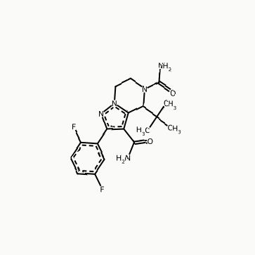 CC(C)(C)C1c2c(C(N)=O)c(-c3cc(F)ccc3F)nn2CCN1C(N)=O